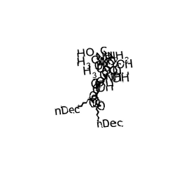 CCCCCCCCCCCCCCCC(=O)OCC(COP(=O)(O)OCC(=O)N[C@@H]1[C@@H](OC(C)CN(C(=O)[C@H](C)N)[C@H](CCC(=O)O)C(N)=O)[C@H](O)[C@@H](CO)O[C@@H]1O)OC(=O)CCCCCCCCCCCCCCC